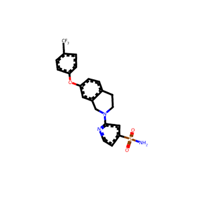 NS(=O)(=O)c1ccnc(N2CCc3ccc(Oc4ccc(C(F)(F)F)cc4)cc3C2)c1